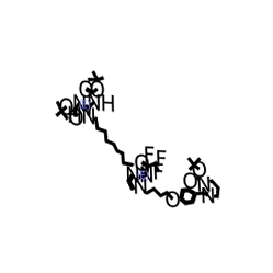 CC(C)(C)OC(=O)/N=C(\NCCCCCCCCCn1ccn(CCCCOc2ccc(C3=NCCCN3C(=O)OC(C)(C)C)cc2)/c1=N/C(=O)C(F)(F)F)NC(=O)OC(C)(C)C